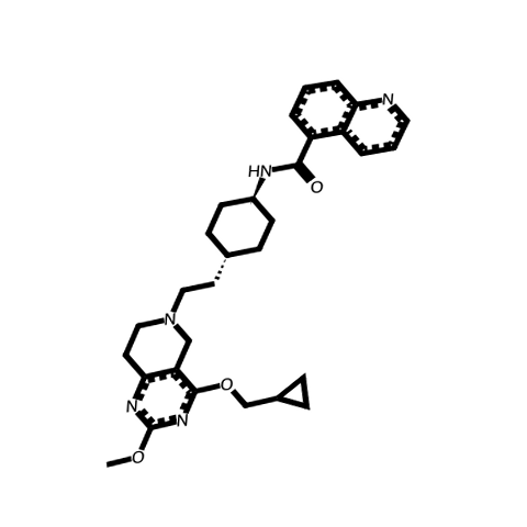 COc1nc2c(c(OCC3CC3)n1)CN(CC[C@H]1CC[C@H](NC(=O)c3cccc4ncccc34)CC1)CC2